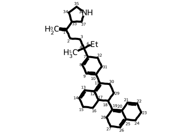 C=C(CCC(C)(CC)C1=CC=C(C2=C3C=CCCC3C(C3=C4C=CCCC4=CCC3)CC2)CC1)C1CCNC1